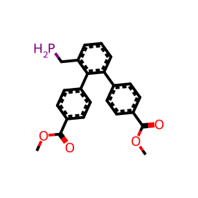 COC(=O)c1ccc(-c2cccc(CP)c2-c2ccc(C(=O)OC)cc2)cc1